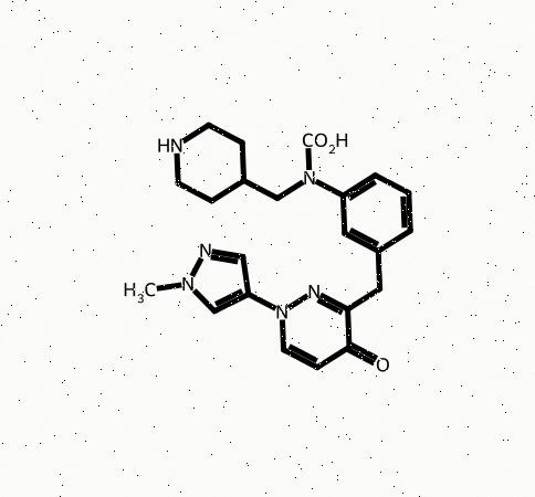 Cn1cc(-n2ccc(=O)c(Cc3cccc(N(CC4CCNCC4)C(=O)O)c3)n2)cn1